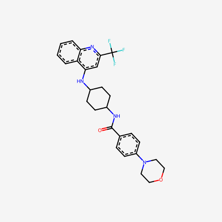 O=C(NC1CCC(Nc2cc(C(F)(F)F)nc3ccccc23)CC1)c1ccc(N2CCOCC2)cc1